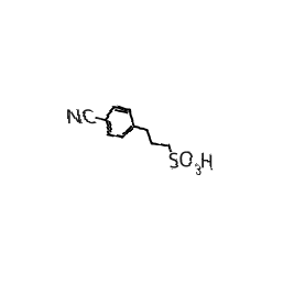 N#Cc1ccc(CCCS(=O)(=O)O)cc1